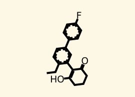 CCc1ccc(-c2ccc(F)cc2)cc1C1=C(O)CCCC1=O